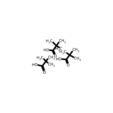 CC(C)(C)C(=O)O.CC(C)(C)C(=O)O.CC(C)(C)C(=O)O